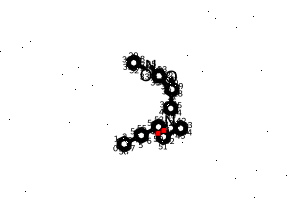 c1ccc(-c2ccc(-c3ccc(N(c4ccc(-c5ccc6oc7cc8nc(-c9ccccc9)oc8cc7c6c5)cc4)c4ccccc4-c4ccccc4)cc3)cc2)cc1